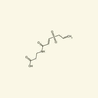 C=CCS(=O)(=O)C=CC(=O)NCCC(=O)O